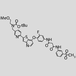 COCCN(Cc1ccc(-c2cc3nccc(Oc4ccc(NC(=O)CC(=O)Nc5cccc(S(C)(=O)=O)c5)cc4F)c3s2)nc1)C(=O)OC(C)(C)C